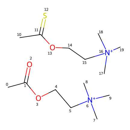 CC(=O)OCC[N+](C)(C)C.CC(=S)OCC[N+](C)(C)C